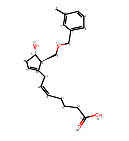 Cc1cccc(COC[C@H]2C(C/C=C\CCCC(=O)O)=CC[C@@H]2O)c1